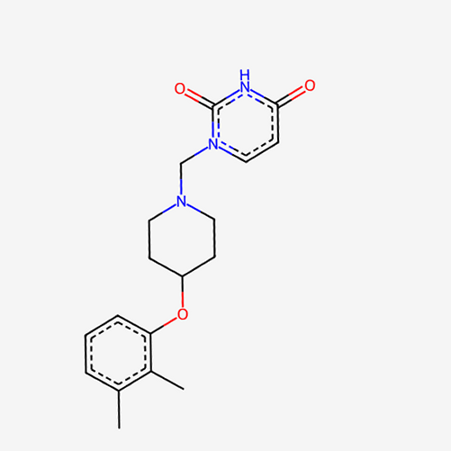 Cc1cccc(OC2CCN(Cn3ccc(=O)[nH]c3=O)CC2)c1C